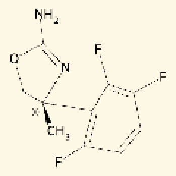 C[C@@]1(c2c(F)ccc(F)c2F)COC(N)=N1